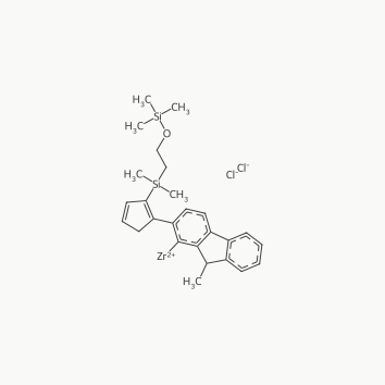 CC1c2ccccc2-c2ccc(C3=C([Si](C)(C)CCO[Si](C)(C)C)C=CC3)[c]([Zr+2])c21.[Cl-].[Cl-]